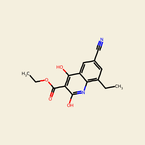 CCOC(=O)c1c(O)nc2c(CC)cc(C#N)cc2c1O